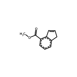 COC(=O)c1cccc2c1C=CC2